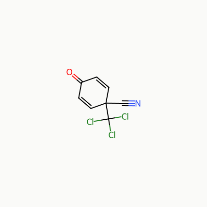 N#CC1(C(Cl)(Cl)Cl)C=CC(=O)C=C1